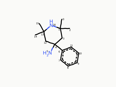 CC1(C)CC(N)(c2ccccc2)CC(C)(C)N1